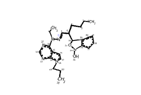 CCCCC(/C=N/N(CC)c1ncnc2c1ccn2CCC)C1ON(O)c2ccccc21